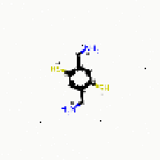 NCc1cc(S)c(CN)cc1S